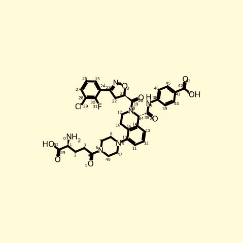 N[C@@H](CCC(=O)N1CCN(c2cccc3c2CCN(C(=O)[C@H]2CC(c4cccc(Cl)c4F)=NO2)[C@@H]3C(=O)Nc2ccc(C(=O)O)cc2)CC1)C(=O)O